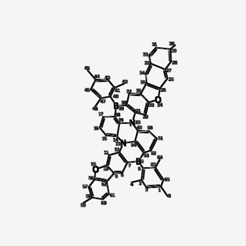 Cc1cc(C)c(B2c3cc4c(cc3N3c5cccc6c5N(c5cc7oc8cc9cc(C)ccc9cc8c7cc5B6c5c(C)cc(C)cc5C)c5cccc2c53)oc2cc(C)ccc24)c(C)c1